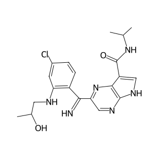 CC(O)CNc1cc(Cl)ccc1C(=N)c1cnc2[nH]cc(C(=O)NC(C)C)c2n1